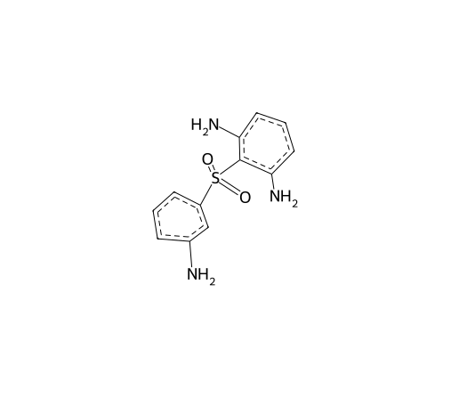 Nc1cccc(S(=O)(=O)c2c(N)cccc2N)c1